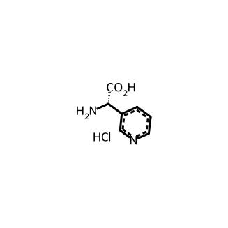 Cl.N[C@H](C(=O)O)c1cccnc1